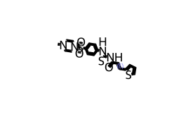 CN1CCN(S(=O)(=O)c2ccc(NC(=S)NC(=O)/C=C/c3cccs3)cc2)CC1